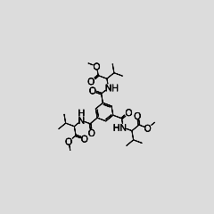 COC(=O)C(NC(=O)c1cc(C(=O)NC(C(=O)OC)C(C)C)cc(C(=O)NC(C(=O)OC)C(C)C)c1)C(C)C